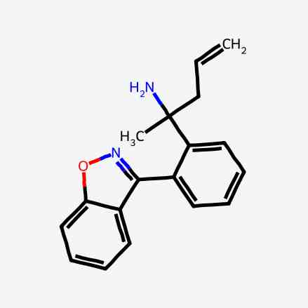 C=CCC(C)(N)c1ccccc1-c1noc2ccccc12